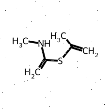 C=C(C)SC(=C)NC